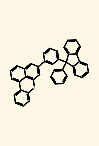 c1ccc(C2(c3cccc(-c4cc5c6c(cccc6c4)-c4ccccc4S5)c3)c3ccccc3-c3ccccc32)cc1